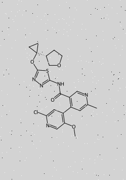 COc1cnc(Cl)cc1-c1cc(C)ncc1C(=O)Nc1nnc(OC2([C@@H]3CCOC3)CC2)s1